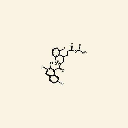 CCCC(F)OC(=O)CCC(CNC(=O)c1c(C)c(Cl)nc2ccc(Br)cc12)c1c(F)cccc1C(F)(F)F